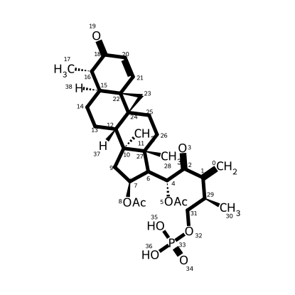 C=C(C(=O)[C@H](OC(C)=O)C1[C@@H](OC(C)=O)C[C@@]2(C)[C@@H]3CC[C@H]4[C@H](C)C(=O)C=C[C@@]45C[C@@]35CC[C@]12C)[C@@H](C)COP(=O)(O)O